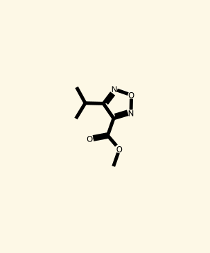 COC(=O)c1nonc1C(C)C